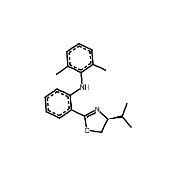 Cc1cccc(C)c1Nc1ccccc1C1=N[C@@H](C(C)C)CO1